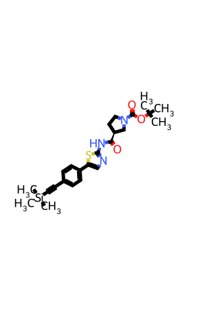 CC(C)(C)OC(=O)N1CC[C@H](C(=O)Nc2ncc(-c3ccc(C#C[Si](C)(C)C)cc3)s2)C1